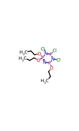 CCCOP1N=P(OCCC)(OCCC)N(Cl)P(Cl)N1Cl